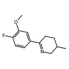 COc1cc(C2=NCC(C)CC2)ccc1F